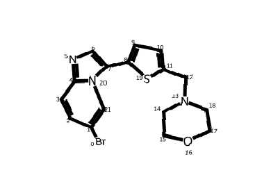 Brc1ccc2ncc(-c3ccc(CN4CCOCC4)s3)n2c1